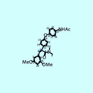 COc1cc(/C=C(\C(=O)N(C)C)c2ccc(Oc3ccc(NC(C)=O)cc3)cc2)cc(OC)c1